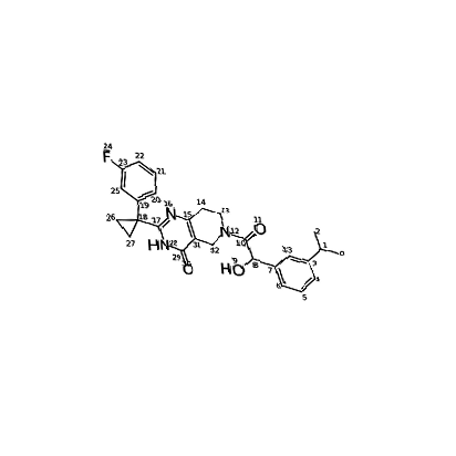 CC(C)c1cccc(C(O)C(=O)N2CCc3nc(C4(c5cccc(F)c5)CC4)[nH]c(=O)c3C2)c1